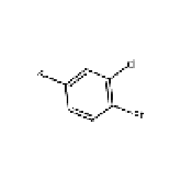 CCc1ccc([S])cc1Cl